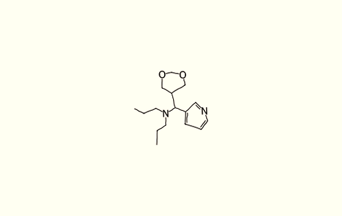 CCCN(CCC)C(c1cccnc1)C1COCOC1